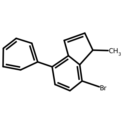 CC1C=Cc2c(-c3ccccc3)ccc(Br)c21